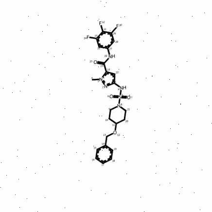 Cn1nc(NS(=O)(=O)N2CCC(OCc3ccccc3)CC2)cc1C(=O)Nc1cc(F)c(F)c(F)c1